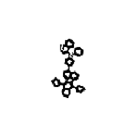 c1ccc(-c2c3c(c(-c4ccccc4)c4ccccc24)-c2ccc(-c4ccc(N(c5ccccc5)c5ccnc6ccccc56)cc4)c4cccc-3c24)cc1